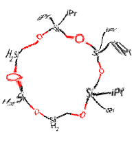 CC(C)[Si]1(C(C)C)O[SiH2]O[SiH2]O[SiH2]O[Si](C(C)C)(C(C)C)O[Si](C(C)C)(C(C)C)O1